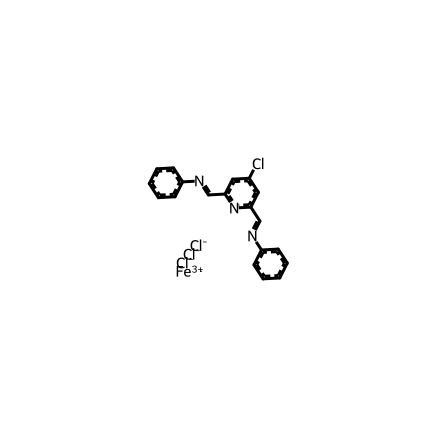 Clc1cc(C=Nc2ccccc2)nc(C=Nc2ccccc2)c1.[Cl-].[Cl-].[Cl-].[Fe+3]